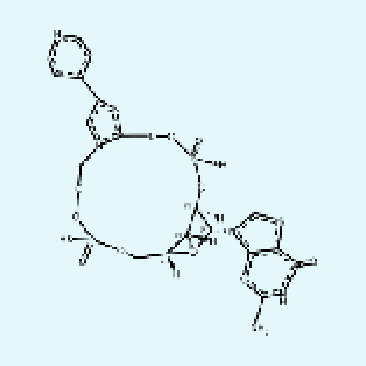 Nc1nc2c(ncn2[C@@H]2O[C@@H]3COP(=O)(S)OCCn4cc(-c5ccncc5)nc4COP(=O)(S)O[C@@H]2[C@@H]3F)c(=O)[nH]1